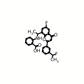 CC(F)c1cccc(-c2cc(=O)c3cc(F)cc(C(C)Nc4ccccc4C(=O)O)c3o2)c1